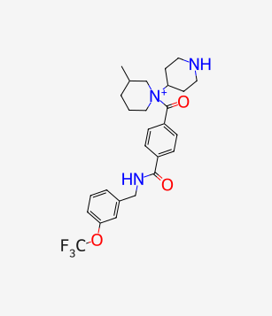 CC1CCC[N+](C(=O)c2ccc(C(=O)NCc3cccc(OC(F)(F)F)c3)cc2)(C2CCNCC2)C1